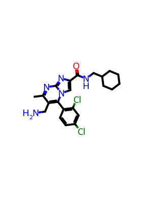 Cc1nc2nc(C(=O)NCC3CCCCC3)cn2c(-c2ccc(Cl)cc2Cl)c1CN